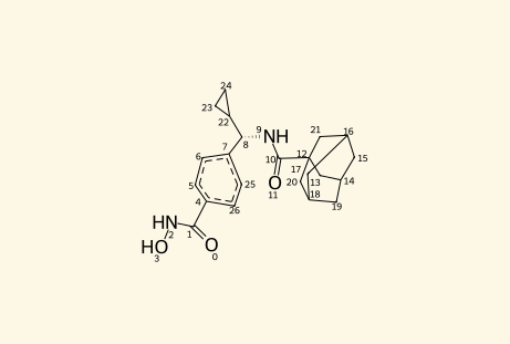 O=C(NO)c1ccc([C@@H](NC(=O)C23CC4CC(CC(C4)C2)C3)C2CC2)cc1